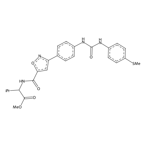 COC(=O)C(NC(=O)c1cc(-c2ccc(NC(=O)Nc3ccc(SC)cc3)cc2)no1)C(C)C